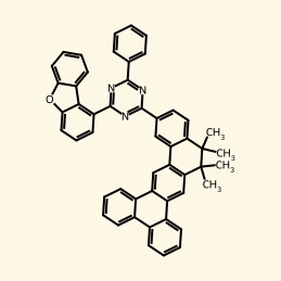 CC1(C)c2ccc(-c3nc(-c4ccccc4)nc(-c4cccc5oc6ccccc6c45)n3)cc2-c2cc3c4ccccc4c4ccccc4c3cc2C1(C)C